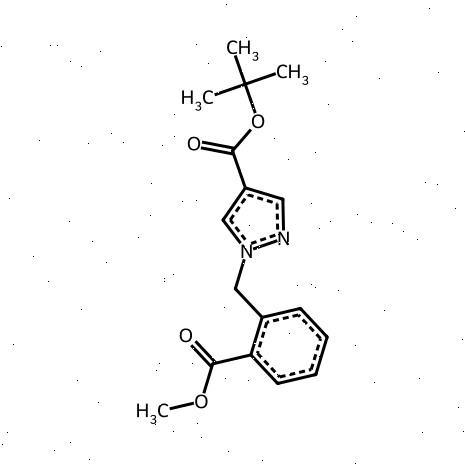 COC(=O)c1ccccc1Cn1cc(C(=O)OC(C)(C)C)cn1